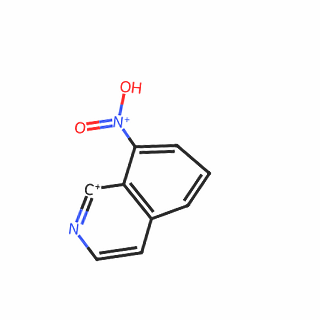 O=[N+](O)c1cccc2c1[C+]=NC=C2